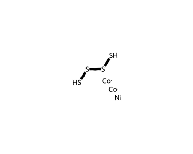 SSSS.[Co].[Co].[Ni]